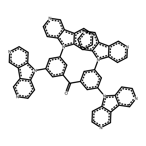 O=C(c1cc(-n2c3ccncc3c3cnccc32)cc(-n2c3ccncc3c3cnccc32)c1)c1cc(-n2c3ccncc3c3cnccc32)cc(-n2c3ccncc3c3cnccc32)c1